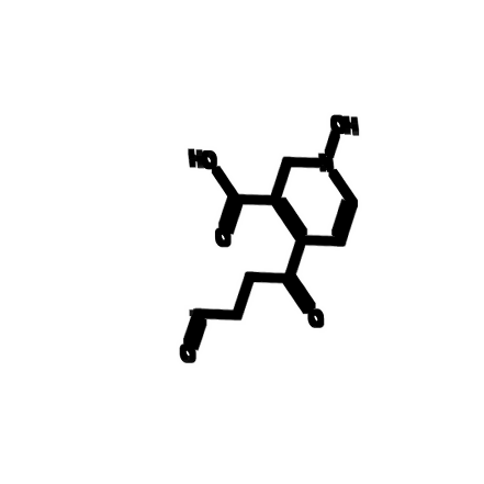 O=[C]CCC(=O)C1=C(C(=O)O)CN(O)C=C1